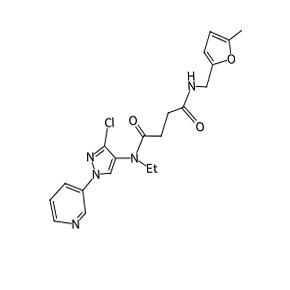 CCN(C(=O)CCC(=O)NCc1ccc(C)o1)c1cn(-c2cccnc2)nc1Cl